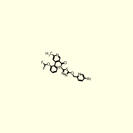 CC(=O)c1ccc(COc2nnc(NC(=O)c3cnc(C)cc3-c3ccccc3OC(F)F)s2)nc1